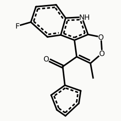 CC1=C(C(=O)c2ccccc2)c2c([nH]c3ccc(F)cc23)OO1